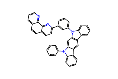 c1ccc(-n2c3ccccc3c3cc4c5ccccc5n(-c5cccc(-c6ccc7ccc8cccnc8c7n6)c5)c4cc32)cc1